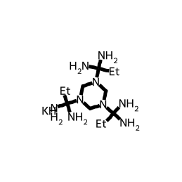 CCC(N)(N)N1CN(C(N)(N)CC)CN(C(N)(N)CC)C1.[KH]